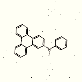 CN(c1ccccc1)c1ccc2c3ccccc3c3ccccc3c2c1